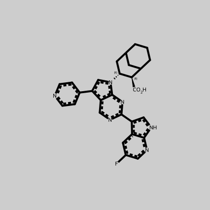 O=C(O)[C@@H]1C2CCCC(C2)C[C@H]1n1cc(-c2ccncc2)c2cnc(-c3c[nH]c4ncc(F)cc34)nc21